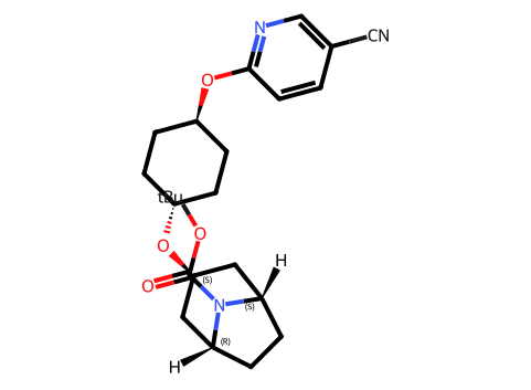 CC(C)(C)OC(=O)N1[C@@H]2CC[C@H]1C[C@H](O[C@H]1CC[C@H](Oc3ccc(C#N)cn3)CC1)C2